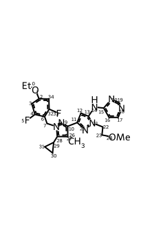 CCOc1cc(F)c(Cn2nc(-c3cc(Nc4ccncn4)n(CCOC)n3)c(C)c2C2CC2)c(F)c1